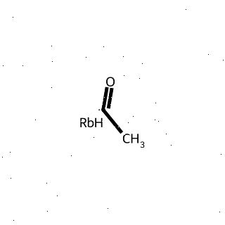 C[C]=O.[RbH]